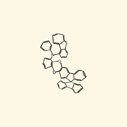 c1ccc(N(c2cccc3c2Oc2cc4c(cc2O3)C2(c3ccccc3-c3ccccc32)c2ccccc2-4)c2cccc3sc4ccccc4c23)cc1